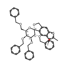 Cc1sc2cc3c(cc2c1I)[C@]1(OC3)O[C@H](COCc2ccccc2)[C@H](OCc2ccccc2)[C@H](OCc2ccccc2)[C@H]1OCc1ccccc1